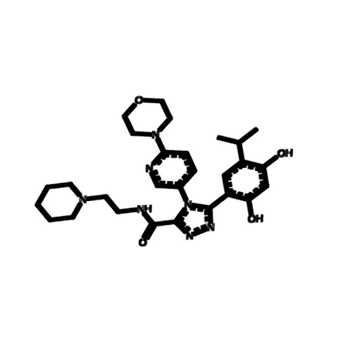 CC(C)c1cc(-c2nnc(C(=O)NCCN3CCCCC3)n2-c2ccc(N3CCOCC3)nc2)c(O)cc1O